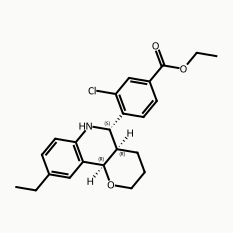 CCOC(=O)c1ccc([C@H]2Nc3ccc(CC)cc3[C@@H]3OCCC[C@H]23)c(Cl)c1